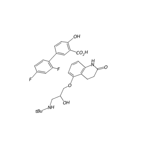 CC(C)(C)NCC(O)COc1cccc2c1CCC(=O)N2.O=C(O)c1cc(-c2ccc(F)cc2F)ccc1O